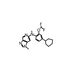 CN(c1cc2c(cn1)ncn2C)c1ccc(C2CCCCC2)cc1OC(F)F